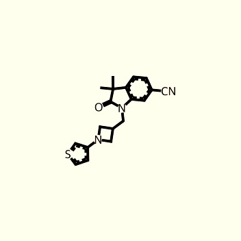 CC1(C)C(=O)N(CC2CN(c3ccsc3)C2)c2cc(C#N)ccc21